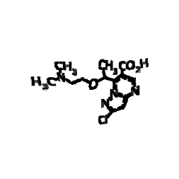 CC(OCCN(C)C)c1c(C(=O)O)cnc2cc(Cl)nn12